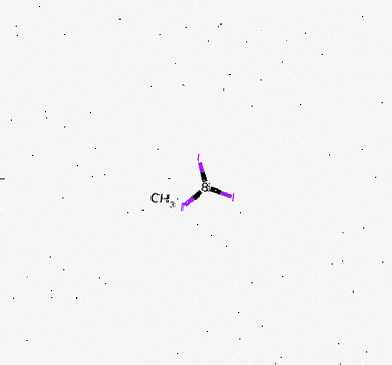 [CH3].[I][Bi]([I])[I]